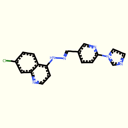 Clc1ccc2c(NN=Cc3ccc(-n4ccnc4)nc3)ccnc2c1